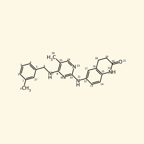 Cc1cccc(CNc2nc(Nc3ccc4c(c3)CCC(=O)N4)ncc2C)c1